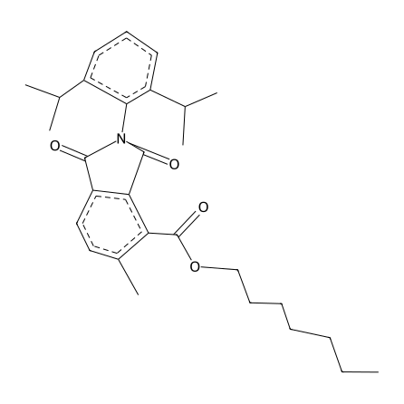 CCCCCCCOC(=O)c1c(C)ccc2c1C(=O)N(c1c(C(C)C)cccc1C(C)C)C2=O